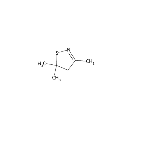 CC1=NSC(C)(C)C1